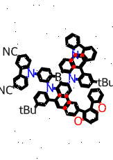 CC(C)(C)c1ccc(N2c3cc(-n4c5ccccc5c5ccccc54)ccc3B3c4ccc(-n5c6ccc(C#N)cc6c6cc(C#N)ccc65)cc4N(c4ccc(C(C)(C)C)cc4-c4ccccc4)c4cc(-c5ccc6oc7ccc8oc9ccccc9c8c7c6c5)cc2c43)c(-c2ccccc2)c1